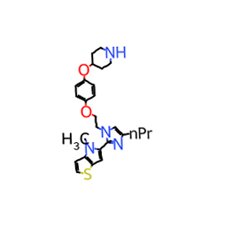 CCCc1cn(CCOc2ccc(OC3CCNCC3)cc2)c(-c2cc3sccc3n2C)n1